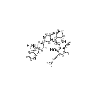 CN1C=C(C#CC2CC2)C(O)=C(C(=O)Nc2cccc(Sc3cnc(N4CCC5(CC4)Cc4ncccc4[C@H]5N)cn3)c2Cl)C1=C=O